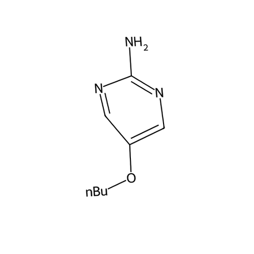 CCCCOc1cnc(N)nc1